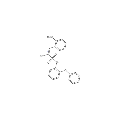 COc1ccccc1/C=C(/C#N)S(=O)(=O)Nc1ccccc1Oc1ccccc1